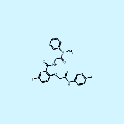 CN(C(=O)CNC(=O)c1cc(F)ccc1OCC(=O)Nc1ccc(I)cc1)c1ccccc1